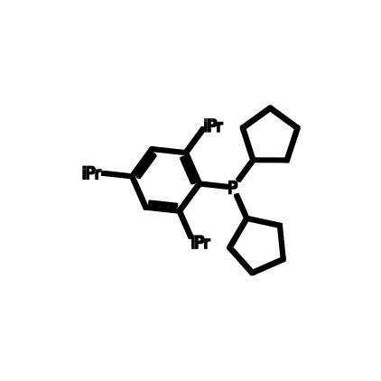 CC(C)c1cc(C(C)C)c(P(C2CCCC2)C2CCCC2)c(C(C)C)c1